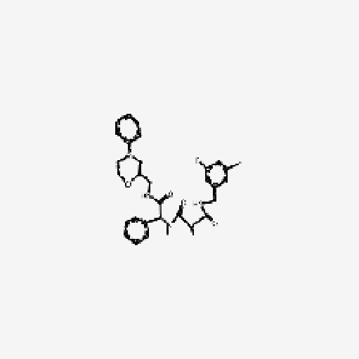 CC(C(=O)NCc1cc(F)cc(F)c1)C(=O)N[C@H](C(=O)NCC1CN(c2ccccc2)CCO1)c1ccccc1